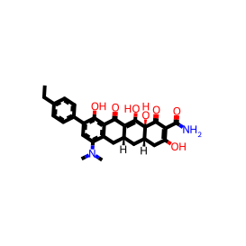 CCc1ccc(-c2cc(N(C)C)c3c(c2O)C(=O)C2=C(O)[C@]4(O)C(=O)C(C(N)=O)=C(O)C[C@@H]4C[C@@H]2C3)cc1